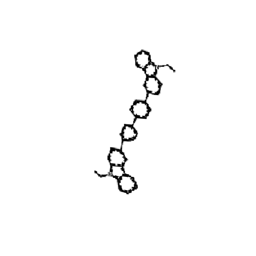 CCn1c2ccccc2c2cc(-c3ccc(-c4ccc(-c5ccc6c(c5)c5ccccc5n6CC)cc4)cc3)ccc21